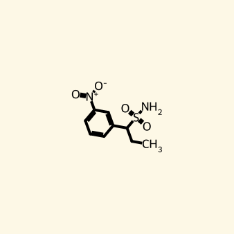 CCC(c1cccc([N+](=O)[O-])c1)S(N)(=O)=O